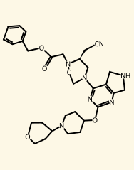 N#CC[C@H]1CN(c2nc(OC3CCN(C4CCOCC4)CC3)nc3c2CNC3)CCN1CC(=O)OCc1ccccc1